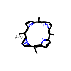 Cc1c2nc(c(C)c3ccc([nH]3)c(C)c3nc(c(C)c4ccc1[nH]4)C=C3)C=C2.[AlH3]